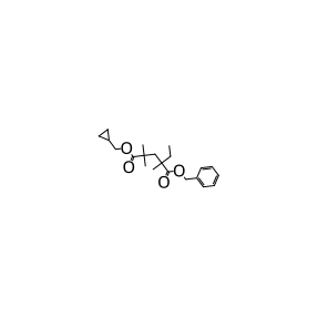 CCC(C)(CC(C)(C)C(=O)OCC1CC1)C(=O)OCc1ccccc1